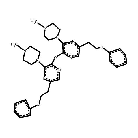 CN1CCN(c2nc(CCOc3ccccc3)cnc2Oc2ncc(CCOc3ccccc3)nc2N2CCN(C)CC2)CC1